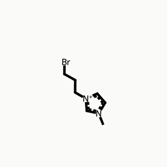 Cn1cc[n+](CCCBr)c1